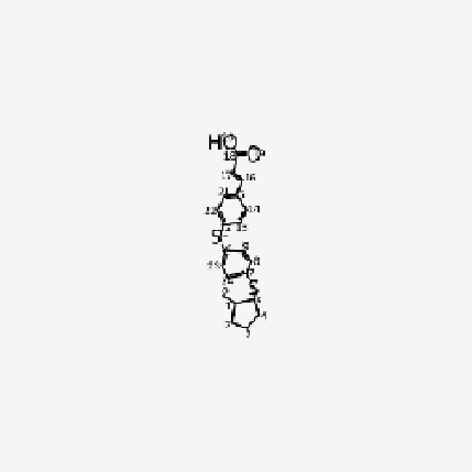 CC1CCCC1Sc1ccc(Sc2ccc(/C=C/C(=O)O)cc2)cc1